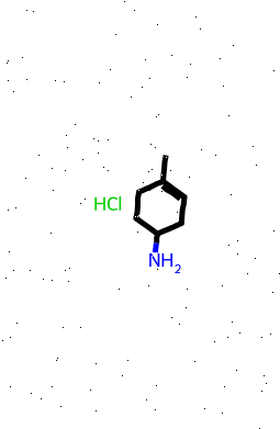 CC1=CCC(N)CC1.Cl